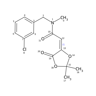 CN(Cc1cccc(Cl)c1)C(=O)/C=C1/OC(C)(C)OC1=O